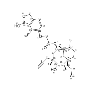 C#CC[C@]1(C)C[C@@H](OC(=O)COc2ccc3c(c2F)B(O)OC3)[C@@]2(C)C[C@](CCC(C)=O)(CC[C@H]2C)[C@@H](C)[C@@H]1O